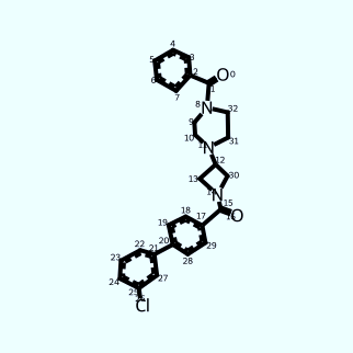 O=C(c1ccccc1)N1CCN(C2CN(C(=O)c3ccc(-c4cccc(Cl)c4)cc3)C2)CC1